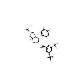 O=C(O[C@@H]1CC[C@@H]2CN(C(=O)O)C[C@@H]2[C@H]1c1ccc(F)cc1)c1cc(C(F)(F)F)cc(C(F)(F)F)c1